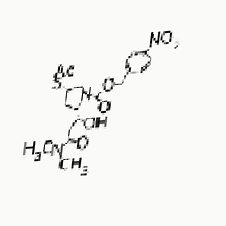 CC(=O)S[C@H]1C[C@@H](C(O)CC(=O)N(C)C)N(C(=O)OCc2ccc([N+](=O)[O-])cc2)C1